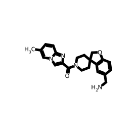 Cc1ccc2nc(C(=O)N3CCC4(CC3)COc3ccc(CN)cc34)cn2c1